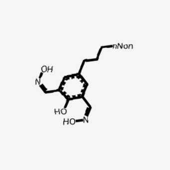 CCCCCCCCCCCCc1cc(/C=N\O)c(O)c(/C=N\O)c1